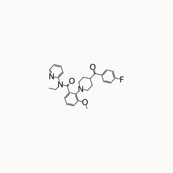 CCN(C(=O)c1cccc(OC)c1N1CCC(C(=O)c2ccc(F)cc2)CC1)c1ccccn1